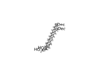 CCCCCCCCCCCCCCCCCCCCCC(=O)O.CCCCCCCCCCCCCCCCCCCCCCCCCC(=O)O